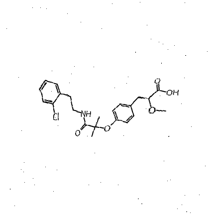 CO[C@@H](Cc1ccc(OC(C)(C)C(=O)NCCc2ccccc2Cl)cc1)C(=O)O